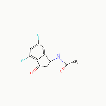 O=C1CC(NC(=O)C(F)(F)F)c2cc(F)cc(F)c21